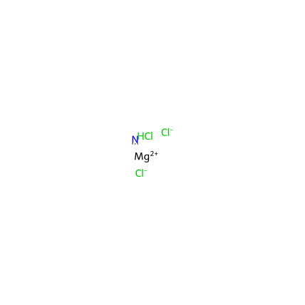 Cl.[Cl-].[Cl-].[Mg+2].[N]